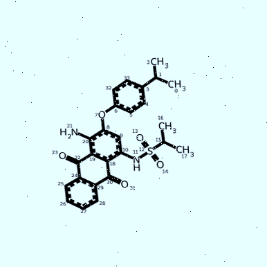 CC(C)c1ccc(Oc2cc(NS(=O)(=O)C(C)C)c3c(c2N)C(=O)c2ccccc2C3=O)cc1